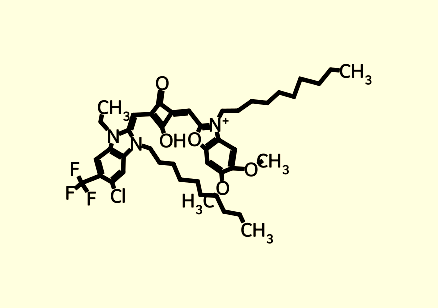 CCCCCCCCCCN1/C(=C\C2=C(O)C(=C\c3oc4cc(OC)c(OC)cc4[n+]3CCCCCCCCCC)/C2=O)N(CC)c2cc(C(F)(F)F)c(Cl)cc21